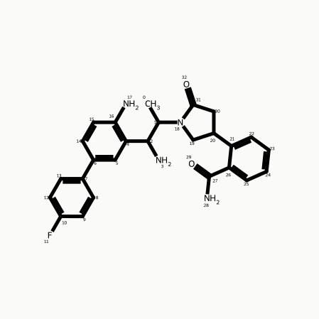 CC(C(N)c1cc(-c2ccc(F)cc2)ccc1N)N1CC(c2ccccc2C(N)=O)CC1=O